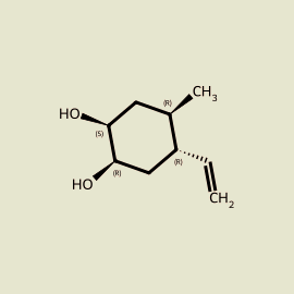 C=C[C@@H]1C[C@@H](O)[C@@H](O)C[C@H]1C